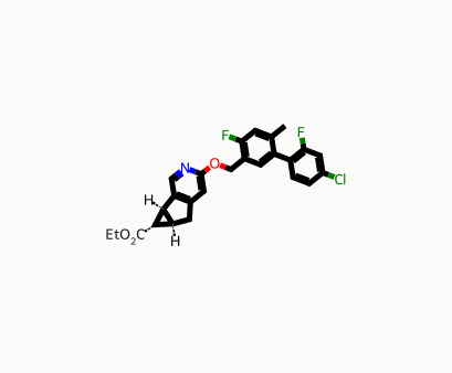 CCOC(=O)[C@H]1[C@@H]2Cc3cc(OCc4cc(-c5ccc(Cl)cc5F)c(C)cc4F)ncc3[C@@H]21